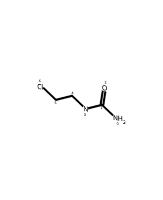 NC(=O)[N]CCCl